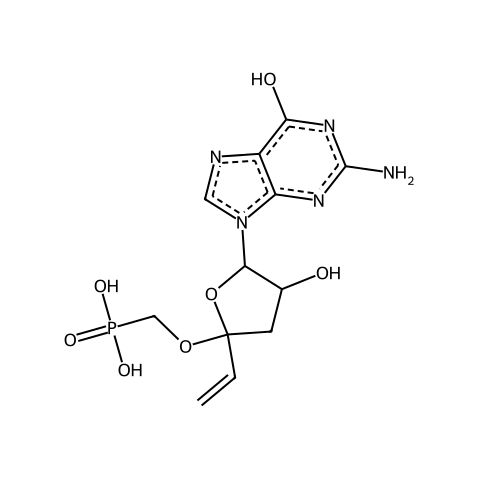 C=CC1(OCP(=O)(O)O)CC(O)C(n2cnc3c(O)nc(N)nc32)O1